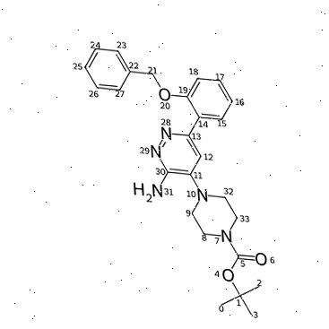 CC(C)(C)OC(=O)N1CCN(c2cc(-c3ccccc3OCc3ccccc3)nnc2N)CC1